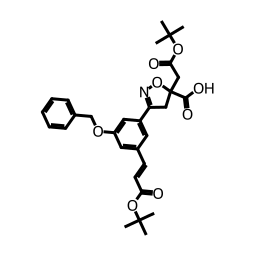 CC(C)(C)OC(=O)C=Cc1cc(OCc2ccccc2)cc(C2=NOC(CC(=O)OC(C)(C)C)(C(=O)O)C2)c1